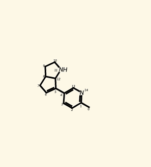 Cc1ccc(C2=CCC3CCNC23)cn1